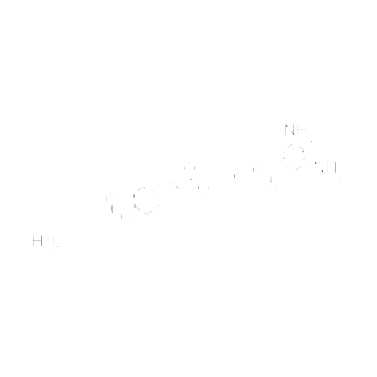 CCC1CCC(C(=O)Oc2ccc(/C=C/C(=O)OCCCCOC(=O)c3cc(N)cc(N)c3)cc2)CC1